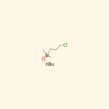 CCCCO[Si](C)(C)CCCCl